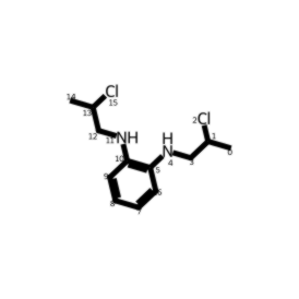 CC(Cl)CNc1[c]cccc1NCC(C)Cl